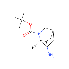 CC(C)(C)OC(=O)N1CC2CC[C@@H]1C(N)C2